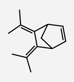 CC(C)=C1C(=C(C)C)C2C=CC1C2